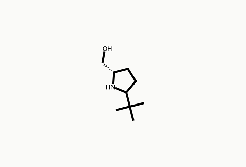 CC(C)(C)C1CC[C@@H](CO)N1